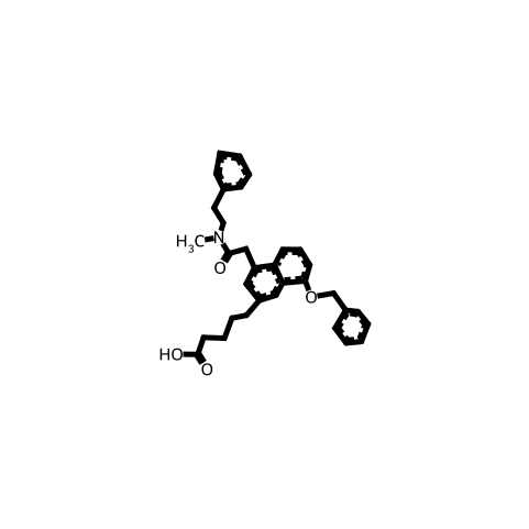 CN(CCc1ccccc1)C(=O)Cc1cc(CCCCC(=O)O)cc2c(OCc3ccccc3)cccc12